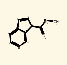 O=C(NO)C1C=Cc2ccccc21